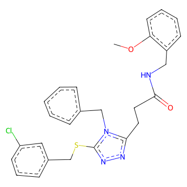 COc1ccccc1CNC(=O)CCc1nnc(SCc2cccc(Cl)c2)n1Cc1ccccc1